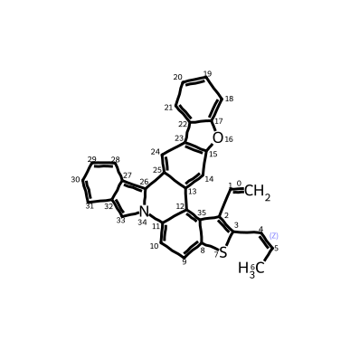 C=Cc1c(/C=C\C)sc2ccc3c(c4cc5oc6ccccc6c5cc4c4c5ccccc5cn34)c12